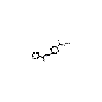 CC(C)(C)OC(=O)N1CCC(/C=C/C(=O)c2cccnc2)CC1